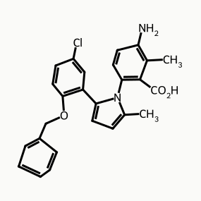 Cc1c(N)ccc(-n2c(C)ccc2-c2cc(Cl)ccc2OCc2ccccc2)c1C(=O)O